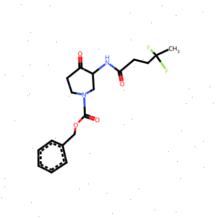 CC(F)(F)CCC(=O)NC1CN(C(=O)OCc2ccccc2)CCC1=O